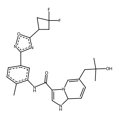 Cc1ccc(-c2noc(C3CC(F)(F)C3)n2)cc1NC(=O)C1=CNC2C=CC(CC(C)(C)O)=CN12